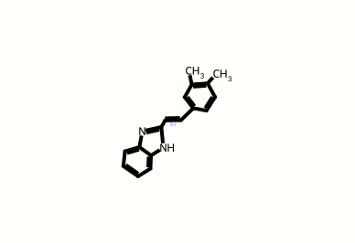 Cc1ccc(/C=C/c2nc3ccccc3[nH]2)cc1C